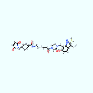 CCc1c(SC)[nH]c2c(CN3CCN(C(=O)CCCCCNC(=O)C4CCC(CN5C(=O)C=CC5=O)CC4)CC3)c(O)ccc12